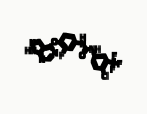 O=C(Nc1ccc(Oc2ncnc3[nH]ncc23)c(F)c1)Nc1ccc(Cl)c(C(F)(F)F)c1